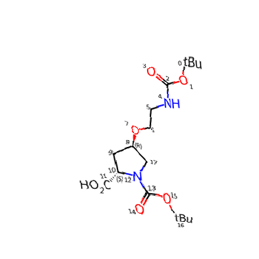 CC(C)(C)OC(=O)NCCO[C@@H]1C[C@@H](C(=O)O)N(C(=O)OC(C)(C)C)C1